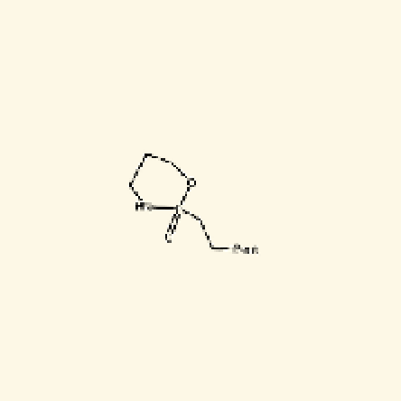 CCCCCCCP1(=O)NCCCO1